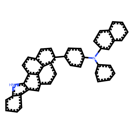 c1ccc(N(c2ccc(-c3ccc4ccc5c6[nH]c7ccccc7c6cc6ccc3c4c65)cc2)c2ccc3ccccc3c2)cc1